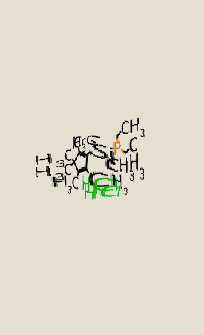 CCP(CC)[Si](C)(C)C1=[C]([Cr])C(C)(C)C(C)=C1C.Cl.Cl